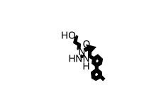 Cc1cccc(-c2cccc(C(NC(=N)N(C=O)CCCCO)C3CC3)c2)c1